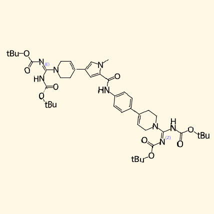 Cn1cc(C2=CCN(/C(=N/C(=O)OC(C)(C)C)NC(=O)OC(C)(C)C)CC2)cc1C(=O)Nc1ccc(C2=CCN(/C(=N\C(=O)OC(C)(C)C)NC(=O)OC(C)(C)C)CC2)cc1